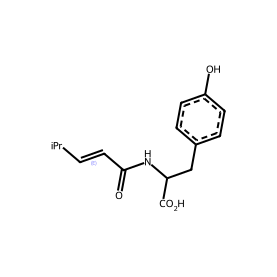 CC(C)/C=C/C(=O)NC(Cc1ccc(O)cc1)C(=O)O